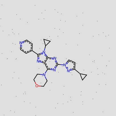 c1cc(-c2nc3c(N4CCOCC4)nc(-n4ccc(C5CC5)n4)nc3n2C2CC2)ccn1